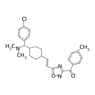 Cc1ccc(C(=O)c2noc(C=CC3CCC(C(c4ccc(Cl)cc4)N(C)C)CC3)n2)cc1